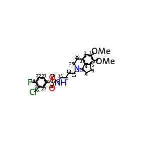 COc1cc2c3c(c1OC)CCC3N(CCCCNS(=O)(=O)c1ccc(F)c(Cl)c1)CC2